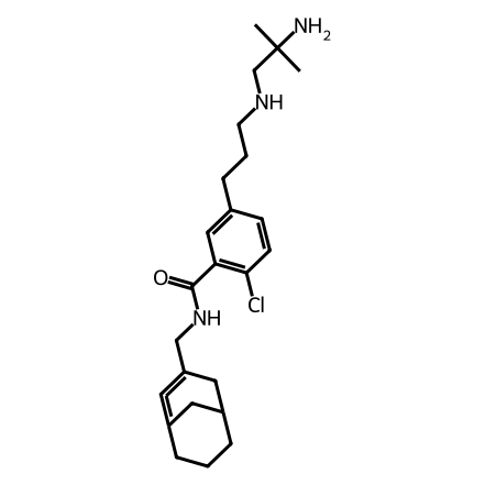 CC(C)(N)CNCCCc1ccc(Cl)c(C(=O)NCC2=C=C3CCCC(C3)C2)c1